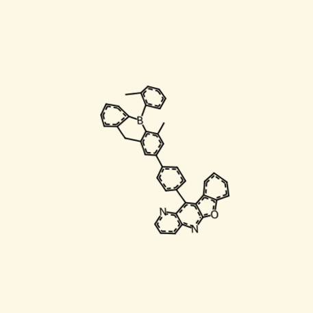 Cc1ccccc1B1c2ccccc2Cc2cc(-c3ccc(-c4c5ncccc5nc5oc6ccccc6c45)cc3)cc(C)c21